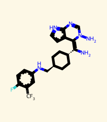 N/C(=C1/c2cc[nH]c2N=CN1N)[C@H]1CC[C@H](CNc2ccc(F)c(C(F)(F)F)c2)CC1